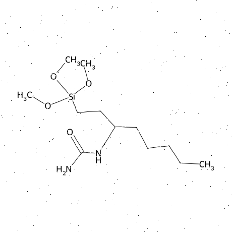 CCCCCC(CC[Si](OC)(OC)OC)NC(N)=O